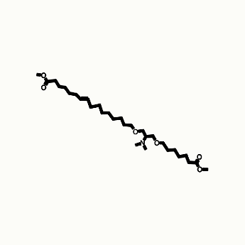 COC(=O)CCCCCC=CCCCCCCCCOCC(COCCCCCCC(=O)OC)N(C)C